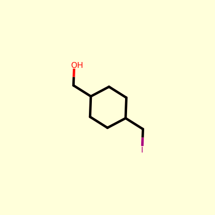 OCC1CCC(CI)CC1